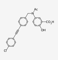 CC(=O)N(Cc1ccc(C#Cc2ccc(Cl)cc2)cc1)c1ccc(O)c(C(=O)O)c1